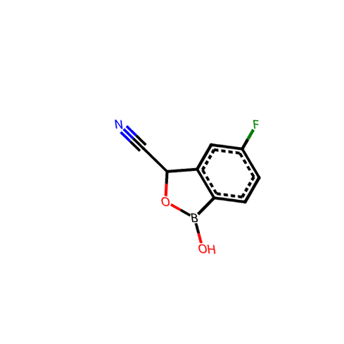 N#CC1OB(O)c2ccc(F)cc21